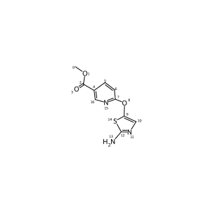 COC(=O)c1ccc(Oc2cnc(N)s2)nc1